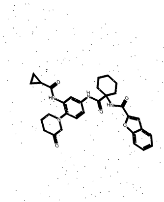 O=C1CCCN(c2ccc(NC(=O)C3(NC(=O)c4cc5ccccc5o4)CCCCC3)cc2NC(=O)C2CC2)C1